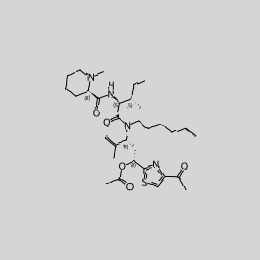 C=C(C)[C@@H](C[C@@H](OC(C)=O)c1nc(C(C)=O)cs1)N(CCCCCC)C(=O)[C@@H](NC(=O)[C@H]1CCCCN1C)[C@@H](C)CC